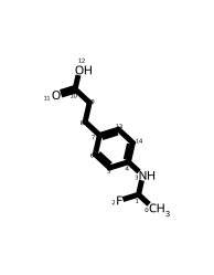 CC(F)Nc1ccc(CCC(=O)O)cc1